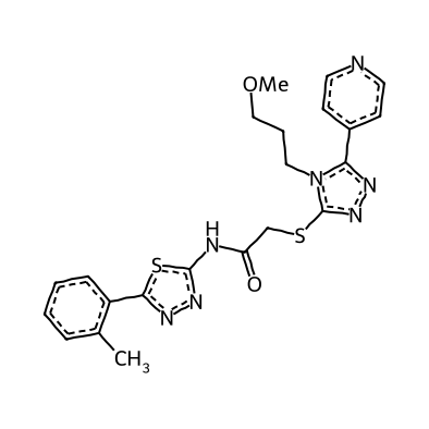 COCCCn1c(SCC(=O)Nc2nnc(-c3ccccc3C)s2)nnc1-c1ccncc1